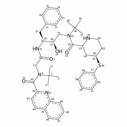 CC(C)(C)N(CC(=O)N[C@@H](Cc1ccccc1)[C@H](O)CN(C(=O)C1C[C@H](Sc2ccccc2)CCN1)C(C)(C)C)C(=O)c1ccc2ccccc2n1